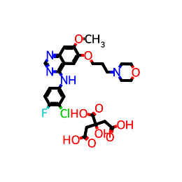 COc1cc2ncnc(Nc3ccc(F)c(Cl)c3)c2cc1OCCCN1CCOCC1.O=C(O)CC(O)(CC(=O)O)C(=O)O